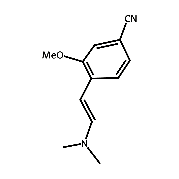 COc1cc(C#N)ccc1/C=C/N(C)C